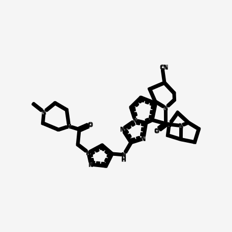 CN1CCN(C(=O)Cn2cc(Nc3nc4c(N5CC6CCC(C5)N6C(=O)N5CCC(C#N)CC5)cccn4n3)cn2)CC1